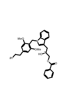 COc1cc(CCC(C)C)cc(OC)c1Cn1cc(C[C@H](O)COC(=O)c2ccccc2)c2ccccc21